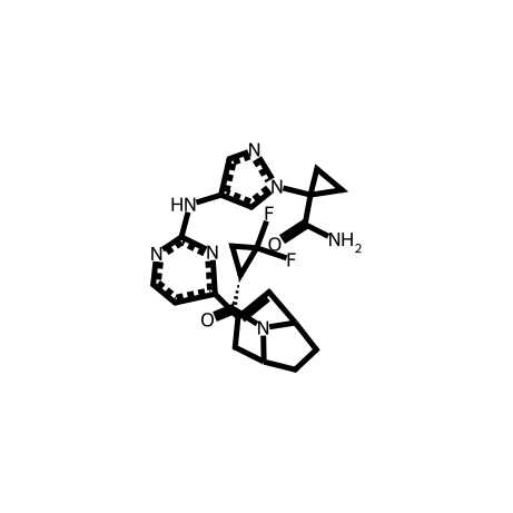 NC(=O)C1(n2cc(Nc3nccc(C4=CC5CCC(C4)N5C(=O)[C@@H]4CC4(F)F)n3)cn2)CC1